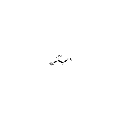 CSSC.[Mo]